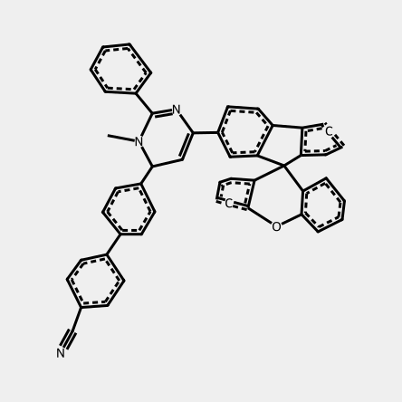 CN1C(c2ccccc2)=NC(c2ccc3c(c2)C2(c4ccccc4Oc4ccccc42)c2ccccc2-3)=CC1c1ccc(-c2ccc(C#N)cc2)cc1